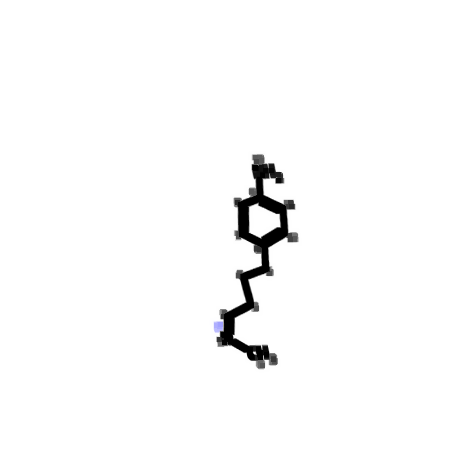 C/N=C\CCCc1ccc(N)cc1